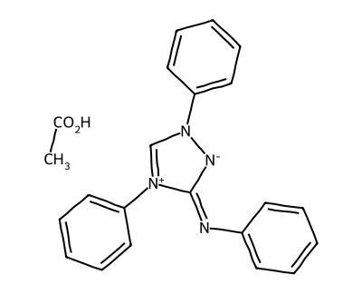 CC(=O)O.c1ccc(/N=c2\[n-]n(-c3ccccc3)c[n+]2-c2ccccc2)cc1